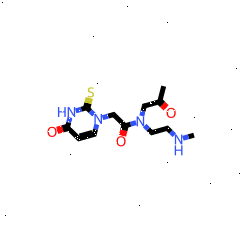 CNCCN(CC(C)=O)C(=O)Cn1ccc(=O)[nH]c1=S